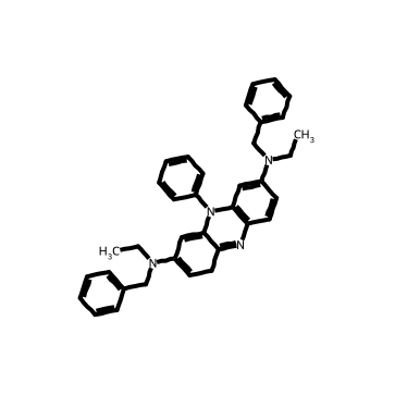 CCN(Cc1ccccc1)C1=CCC2=Nc3ccc(N(CC)Cc4ccccc4)cc3N(c3ccccc3)C2=C1